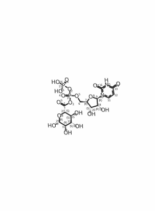 O=C(OP(=O)(OC[C@H]1O[C@@H](n2ccc(=O)[nH]c2=O)[C@H](O)[C@@H]1O)OP(=O)(O)O)[C@H]1O[C@@H](O)[C@H](O)[C@@H](O)[C@@H]1O